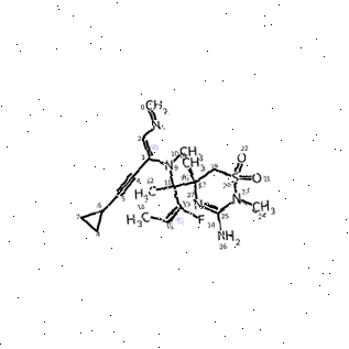 C=N/C=C(/C#CC1CC1)N(C)C(C)(/C(F)=C\C)[C@]1(C)CS(=O)(=O)N(C)C(N)=N1